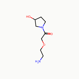 NCCOCC(=O)N1CCC(O)C1